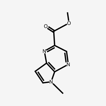 COC(=O)c1cnc2c(ccn2C)n1